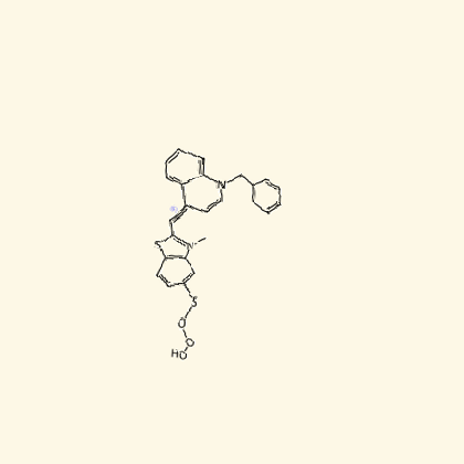 C[n+]1c(/C=C2\C=CN(Cc3ccccc3)c3ccccc32)sc2ccc(SOOO)cc21